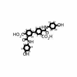 O=C(O)c1cc(-c2ccc(C(=O)O)c(C(=O)Nc3ccc(O)cc3)c2)ccc1C(=O)Nc1ccc(O)cc1